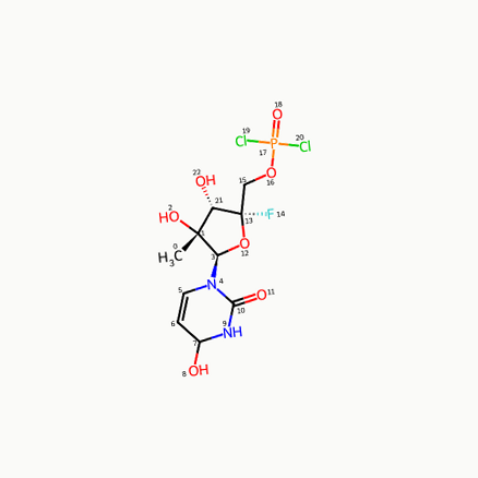 C[C@]1(O)[C@H](N2C=CC(O)NC2=O)O[C@](F)(COP(=O)(Cl)Cl)[C@H]1O